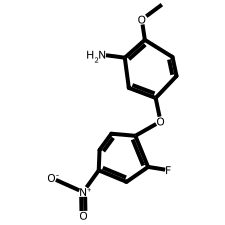 COc1ccc(Oc2ccc([N+](=O)[O-])cc2F)cc1N